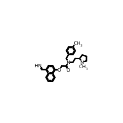 Cc1ccc(CN(CCC2CCCN2C)C(=O)COc2ccc(C=N)c3ccccc23)cc1